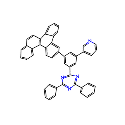 c1ccc(-c2nc(-c3ccccc3)nc(-c3cc(-c4cccnc4)cc(-c4ccc5c(c4)c4ccccc4c4ccc6ccccc6c45)c3)n2)cc1